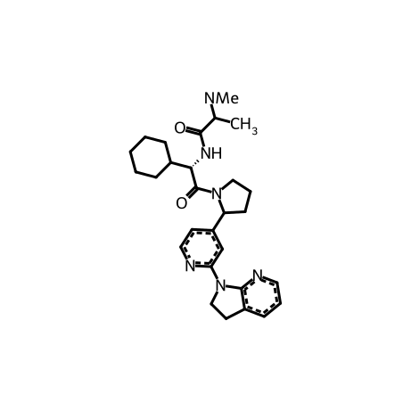 CNC(C)C(=O)N[C@H](C(=O)N1CCCC1c1ccnc(N2CCc3cccnc32)c1)C1CCCCC1